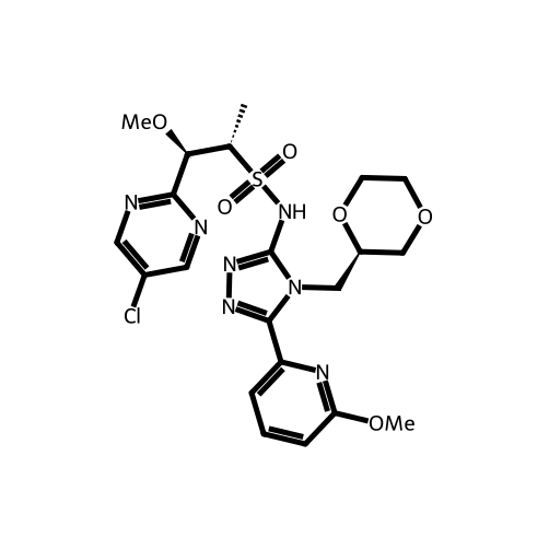 COc1cccc(-c2nnc(NS(=O)(=O)[C@@H](C)[C@H](OC)c3ncc(Cl)cn3)n2C[C@@H]2COCCO2)n1